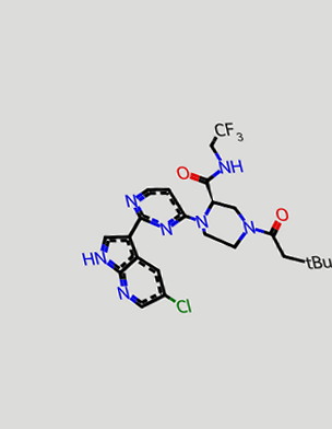 CC(C)(C)CC(=O)N1CCN(c2ccnc(-c3c[nH]c4ncc(Cl)cc34)n2)[C@@H](C(=O)NCC(F)(F)F)C1